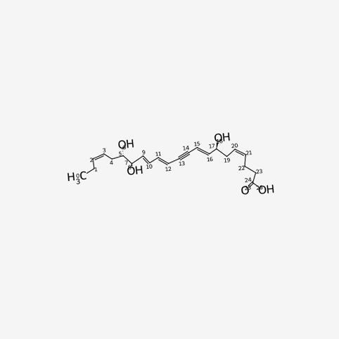 CC/C=C\C[C@H](O)[C@H](O)/C=C/C=C/C#C/C=C/[C@@H](O)C/C=C\CCC(=O)O